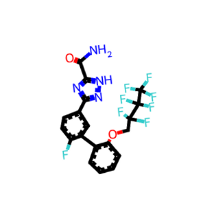 NC(=O)c1nc(-c2ccc(F)c(-c3ccccc3OCC(F)(F)C(F)(F)C(F)(F)F)c2)n[nH]1